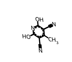 Cc1c(C#N)c(O)nc(O)c1C#N